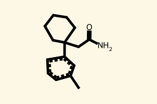 Cc1cccc(C2(CC(N)=O)CCCCC2)c1